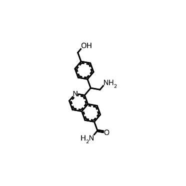 NCC(c1ccc(CO)cc1)c1nccc2cc(C(N)=O)ccc12